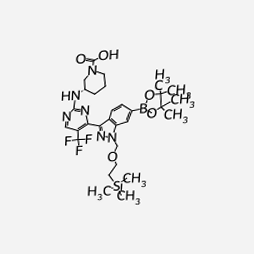 CC1(C)OB(c2ccc3c(-c4nc(N[C@H]5CCCN(C(=O)O)C5)ncc4C(F)(F)F)nn(COCC[Si](C)(C)C)c3c2)OC1(C)C